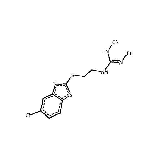 CCN=C(NC#N)NCCSc1nc2cc(Cl)ccc2s1